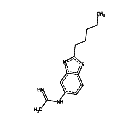 CCCCCc1nc2cc(NC(C)=N)ccc2s1